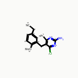 CCCc1nc(N)nc(Cl)c1Cc1cc(CC#N)ccc1OC